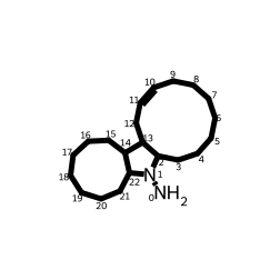 NN1C2CCCCCCC/C=C\CC2C2CCCCCCCC21